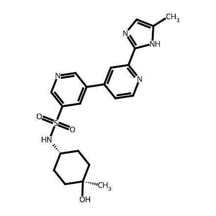 Cc1cnc(-c2cc(-c3cncc(S(=O)(=O)N[C@H]4CC[C@](C)(O)CC4)c3)ccn2)[nH]1